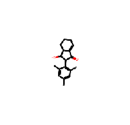 CCc1cc(C)cc(C)c1C1C(=O)C2=CCCCC2C1O